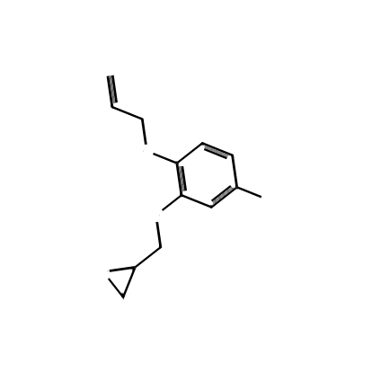 C=CCOc1ccc(Cl)cc1OCC1CO1